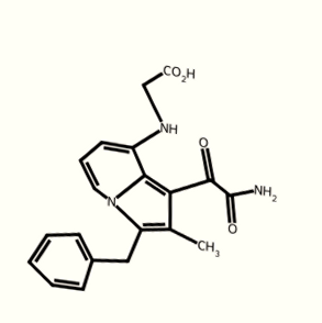 Cc1c(C(=O)C(N)=O)c2c(NCC(=O)O)cccn2c1Cc1ccccc1